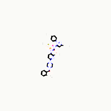 Cc1ccc(-n2nc(C(C)(C)C)cc2N(OS(C)(=O)=O)C(=O)Nc2ccc(N3CCN(C(=O)c4ccccc4C#N)CC3)nc2C)cc1